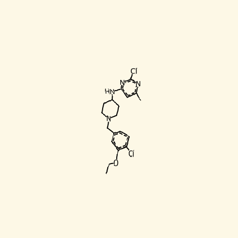 CCOc1cc(CN2CCC(Nc3cc(C)nc(Cl)n3)CC2)ccc1Cl